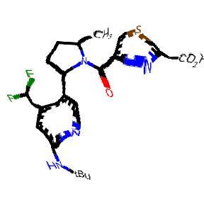 CC1CCC(c2cnc(NC(C)(C)C)cc2C(F)F)N1C(=O)c1csc(C(=O)O)n1